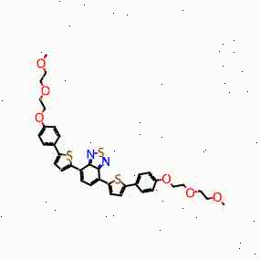 COCCOCCOc1ccc(-c2ccc(-c3ccc(-c4ccc(-c5ccc(OCCOCCOC)cc5)s4)c4nsnc34)s2)cc1